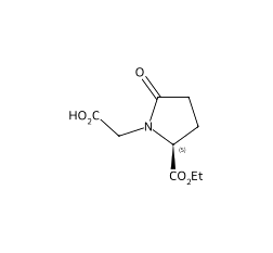 CCOC(=O)[C@@H]1CCC(=O)N1CC(=O)O